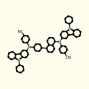 N#Cc1ccc(N(c2ccc(-c3cccc4c(N(c5ccc(C#N)cc5)c5ccc6c(c5)c5ccccc5n6-c5ccccc5)cccc34)cc2)c2ccc3c(c2)c2ccccc2n3-c2ccccc2)cc1